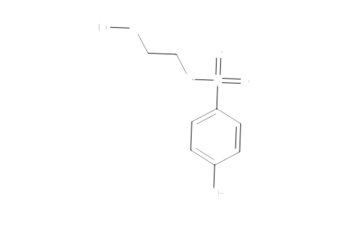 [CH2]COCCOS(=O)(=O)c1ccc(C)cc1